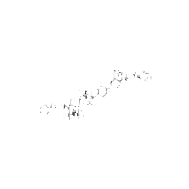 O=C(NS(=O)(=O)c1ccc(NCCSc2ccccc2)c([N+](=O)[O-])c1)c1ccc(-c2ccc3c(c2)ncn3CCN2CCOCC2)cc1